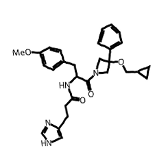 COc1ccc(CC(NC(=O)CCc2c[nH]cn2)C(=O)N2CC(OCC3CC3)(c3ccccc3)C2)cc1